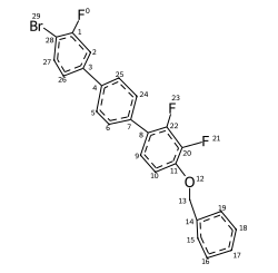 Fc1cc(-c2ccc(-c3ccc(OCc4ccccc4)c(F)c3F)cc2)ccc1Br